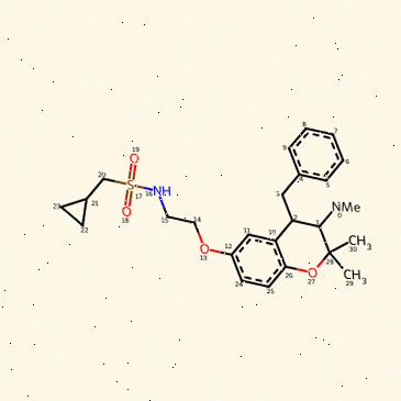 CNC1C(Cc2ccccc2)c2cc(OCCNS(=O)(=O)CC3CC3)ccc2OC1(C)C